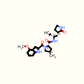 C#C[C@H](C[C@@H]1CCNC1=O)NC(=O)[C@@H]1C[C@@H](C)CN1C(=O)c1cc2c(OC)cccc2[nH]1